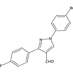 O=Cc1cn(-c2ccc(Br)cc2)nc1-c1ccc(F)cc1